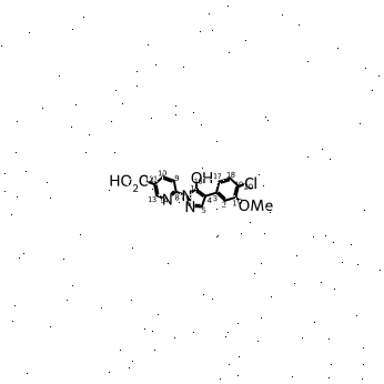 COc1cc(-c2cnn(-c3ccc(C(=O)O)cn3)c2O)ccc1Cl